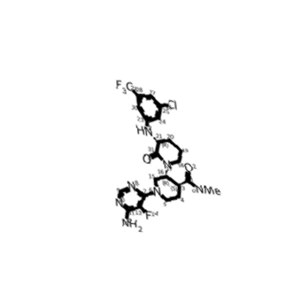 CNC(=O)[C@H]1CCN(c2ncnc(N)c2F)C[C@@H]1N1CCC[C@@H](Nc2cc(Cl)cc(C(F)(F)F)c2)C1=O